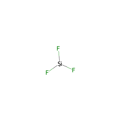 F[Si](F)F